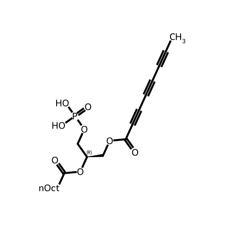 CC#CC#CC#CC(=O)OC[C@H](COP(=O)(O)O)OC(=O)CCCCCCCC